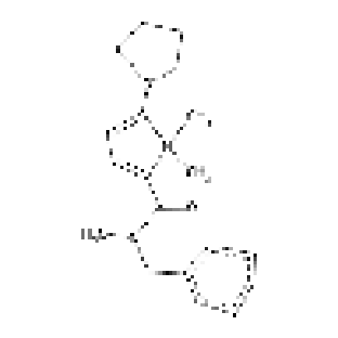 CN(Cc1ccccc1)C(=O)C1=CC=C(N2CCCC2)[N+]1(C)C